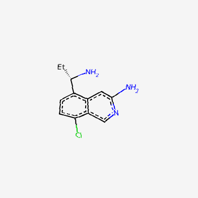 CC[C@H](N)c1ccc(Cl)c2cnc(N)cc12